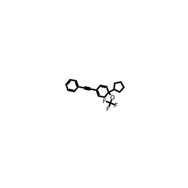 FC(F)(F)OC1(C2CCCC2)C=CC(C#Cc2ccccc2)=CC1